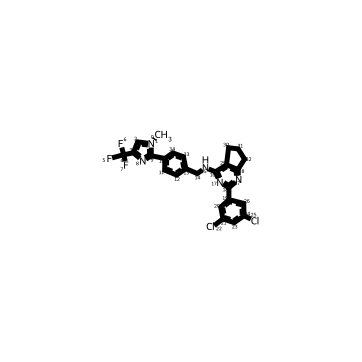 Cn1cc(C(F)(F)F)nc1-c1ccc(CNc2nc(-c3cc(Cl)cc(Cl)c3)nc3c2CCC3)cc1